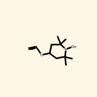 C=COC1CC(C)(C)N(O)C(C)(C)C1